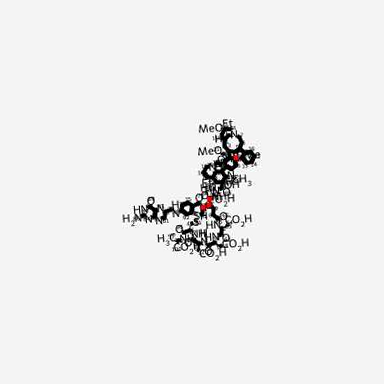 CC[C@]1(OC)C[C@H]2CN(CCc3c([nH]c4ccccc34)[C@@](C(=O)OC)(c3cc4c(cc3OC)N(C)[C@H]3[C@@](O)(C(=O)NNC(=O)OCCSSC[C@H](NC(=O)[C@H](CC(=O)O)NC(=O)[C@H](CC(=O)O)NC(=O)[C@H](CC(=O)O)NC(=O)CC[C@H](NC(=O)c5ccc(NCc6cnc7nc(N)[nH]c(=O)c7n6)cc5)C(=O)O)C(=O)N[C@@H](C)C(=O)O)[C@H](O)[C@]5(CC)C=CCN6CC[C@]43[C@@H]65)C2)C1